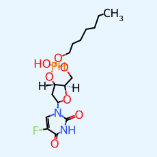 CCCCCCCO[PH]1(O)OC[C@H]2O[C@@H](n3cc(F)c(=O)[nH]c3=O)C[C@@H]2O1